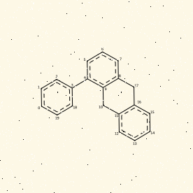 c1ccc(-c2cccc3c2Cc2ccccc2C3)cc1